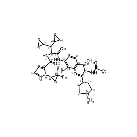 CCC(=O)N[C@@H](C(=O)N1CCN(C)CC1)[C@@H](C)c1ccc(NC(=O)[C@@H](NC(=O)c2ccnn2[C@@H]2CC2(F)F)C(C2CC2)C2CC2)c(F)c1